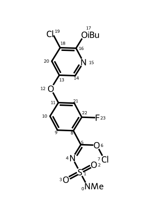 CNS(=O)(=O)N=C(OCl)c1ccc(Oc2cnc(OCC(C)C)c(Cl)c2)cc1F